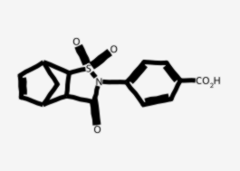 O=C(O)c1ccc(N2C(=O)C3C4C=CC(C4)C3S2(=O)=O)cc1